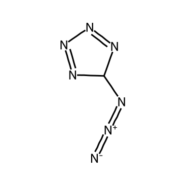 [N-]=[N+]=NC1N=NN=N1